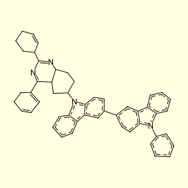 C1=CCCC(C2=NC(C3C=CCCC3)=NC3CCC(n4c5ccccc5c5cc(-c6ccc7c(c6)c6ccccc6n7-c6ccccc6)ccc54)CC23)=C1